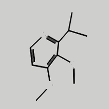 COc1ccnc(C(C)C)c1OC